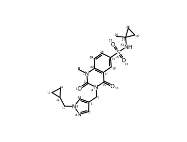 Cn1c(=O)n(Cc2cnn(CC3CC3)c2)c(=O)c2cc(S(=O)(=O)NC3(C)CC3)ccc21